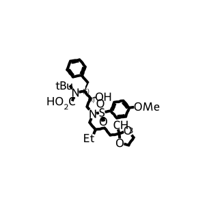 CCC(CCC1(C)OCCO1)CN(C[C@@H](O)[C@H](Cc1ccccc1)N(C(=O)O)C(C)(C)C)S(=O)(=O)c1ccc(OC)cc1